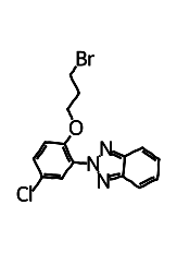 Clc1ccc(OCCCBr)c(-n2nc3ccccc3n2)c1